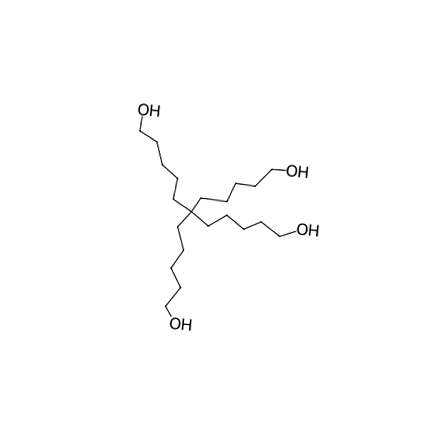 OCCCCCC(CCCCCO)(CCCCCO)CCCCCO